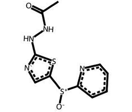 CC(=O)NNc1ncc([S+]([O-])c2ccccn2)s1